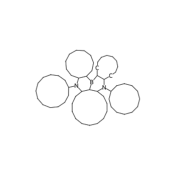 C1CCCCCCC(N2C3CCCCCCCCCC3B3C4CCCCCCCCCC4N(C4CCCCCCCCCCC4)C4CCCCCCCCCCCC2C34)CCCCC1